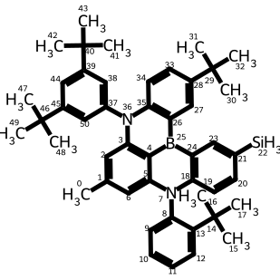 Cc1cc2c3c(c1)N(c1ccccc1C(C)(C)C)c1ccc([SiH3])cc1B3c1cc(C(C)(C)C)ccc1N2c1cc(C(C)(C)C)cc(C(C)(C)C)c1